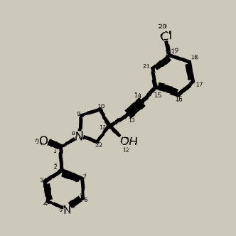 O=C(c1ccncc1)N1CCC(O)(C#Cc2cccc(Cl)c2)C1